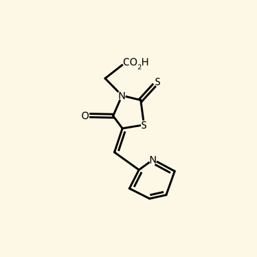 O=C(O)CN1C(=O)C(=Cc2ccccn2)SC1=S